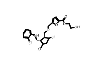 O=C(OCCO)c1ccc(COC[C@H]2C(Cl)CC(Cl)[C@@H]2CNc2ccccc2Cl)o1